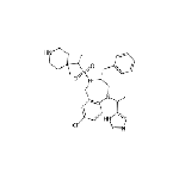 CC(c1cnc[nH]1)N1C[C@@H](Cc2ccccc2)N(S(=O)(=O)C(C)C2(C)CCNCC2)Cc2cc(Cl)ccc21